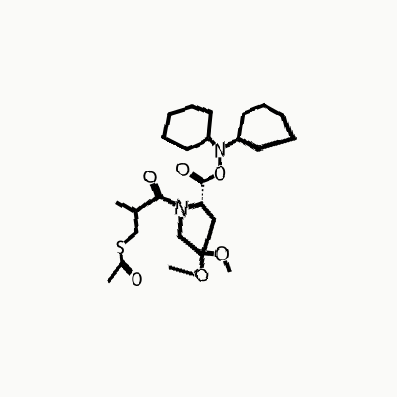 COC1(OC)C[C@@H](C(=O)ON(C2CCCCC2)C2CCCCC2)N(C(=O)C(C)CSC(C)=O)C1